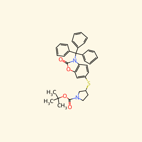 CC(C)(C)OC(=O)N1CC[C@H](Sc2ccc3c(c2)oc(=O)n3C(c2ccccc2)(c2ccccc2)c2ccccc2)C1